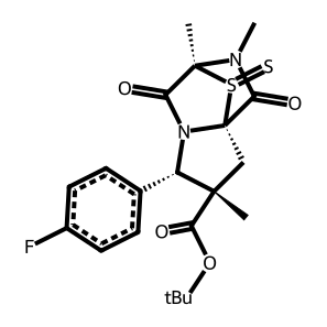 CN1C(=O)[C@@]23C[C@](C)(C(=O)OC(C)(C)C)[C@H](c4ccc(F)cc4)N2C(=O)[C@]1(C)S3=S